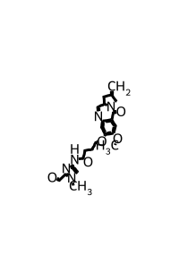 C=C1CC2C=Nc3cc(OCCCC(=O)Nc4cn(C)c(C=O)n4)c(OC)cc3C(=O)N2C1